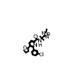 Cc1nc(C(C)(C)NC(=O)c2ccc(C3CCCO3)c(-c3cccc(Cl)c3)n2)no1